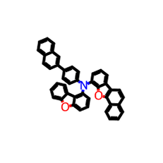 c1ccc2cc(-c3ccc(N(c4cccc5c4oc4c6ccccc6ccc54)c4cccc5oc6ccccc6c45)cc3)ccc2c1